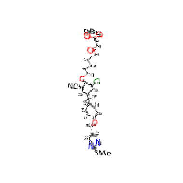 CCCCOC(=O)COCCCCCOc1c(Cl)cc(C(C)(C)c2ccc(OCc3cnc(SC)nc3)cc2)cc1C#N